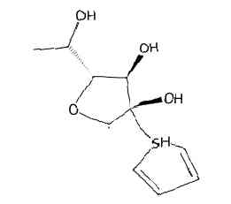 CC(O)[C@H]1O[CH][C@@](O)([SH]2C=CC=C2)[C@@H]1O